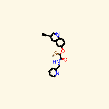 C#Cc1cnc2ccc(OC(SC)C(=O)NCc3ccccn3)cc2c1